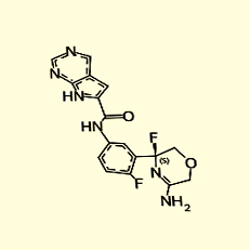 NC1=N[C@](F)(c2cc(NC(=O)c3cc4cncnc4[nH]3)ccc2F)COC1